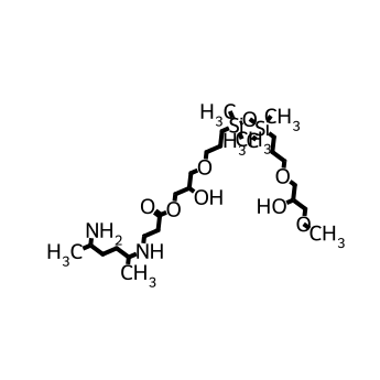 COCC(O)COCCC[Si](C)(C)O[Si](C)(C)CCCOCC(O)COC(=O)CCNC(C)CCC(C)N